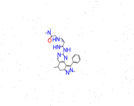 CC1Cc2nn(C)c(-c3ccccc3)c2-c2nc(NC(=N)/C=C\NCC(=O)N(C)C)ncc21